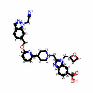 N#CCn1ncc2ccc(COc3cccc(C4CCN(Cc5nc6ccc(C(=O)O)cc6n5C[C@@H]5CCO5)CC4)n3)cc21